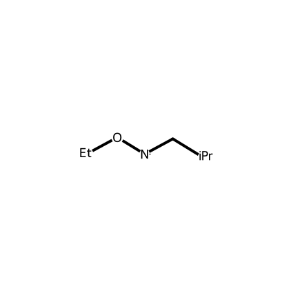 CCO[N]CC(C)C